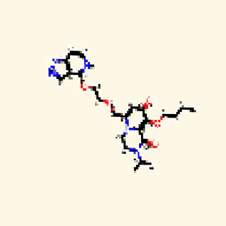 CCCCOc1c2n(c(COCCOc3nccc4[nH]ncc34)cc1=O)CCN(C(C)C)C2=O